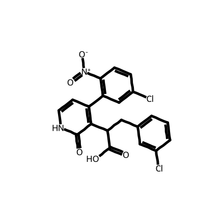 O=C(O)C(Cc1cccc(Cl)c1)c1c(-c2cc(Cl)ccc2[N+](=O)[O-])cc[nH]c1=O